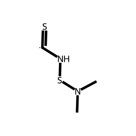 CN(C)SN[C]=S